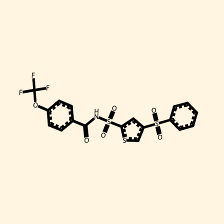 O=C(NS(=O)(=O)c1cc(S(=O)(=O)c2ccccc2)cs1)c1ccc(OC(F)(F)F)cc1